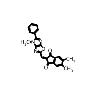 Cc1cc2c(cc1C)C(=O)C(=Cc1nc3c(nc(-c4ccccc4)n3C)o1)C2=O